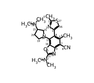 Cc1nc(-c2c(C)c(C#N)c3nc(N(C)C)oc3c2N2CCC(N(C)C)C2)cs1